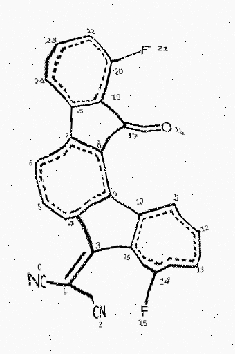 N#CC(C#N)=C1c2ccc3c(c2-c2cccc(F)c21)C(=O)c1c(F)cccc1-3